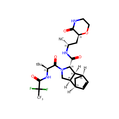 CC(C)(C)[C@H](NC(=O)C(F)(F)C(F)(F)F)C(=O)N1C[C@H]2[C@@H]([C@H]1C(=O)N[C@H](C#N)C[C@@H]1OCCNC1=O)[C@H]1C=C[C@@H]2C1